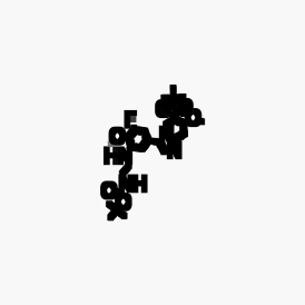 COc1cc2ncc(-c3cc(F)c(OC)c(NCCNC(=O)OC(C)(C)C)c3)n2cc1S(=O)(=O)C(C)(C)C